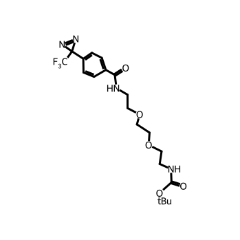 CC(C)(C)OC(=O)NCCOCCOCCNC(=O)c1ccc(C2(C(F)(F)F)N=N2)cc1